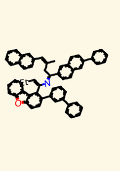 CC/C=C(/N=C(\C/C(C)=C\c1ccc2ccccc2c1)c1ccc2cc(-c3ccccc3)ccc2c1)c1c(-c2cccc(-c3ccccc3)c2)ccc2oc3ccccc3c12